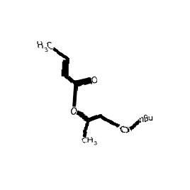 C/C=C/C(=O)OC(C)COCCCC